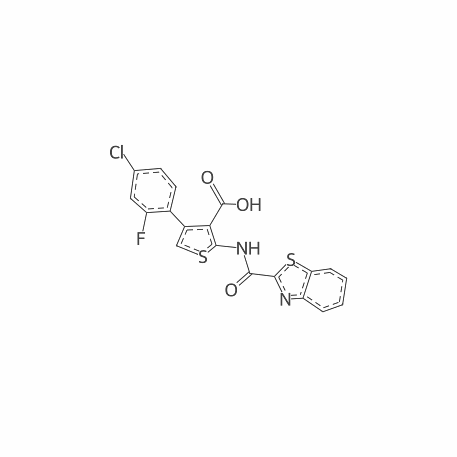 O=C(Nc1scc(-c2ccc(Cl)cc2F)c1C(=O)O)c1nc2ccccc2s1